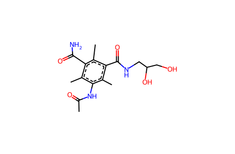 CC(=O)Nc1c(C)c(C(N)=O)c(C)c(C(=O)NCC(O)CO)c1C